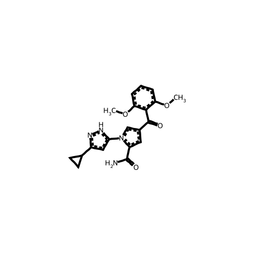 COc1cccc(OC)c1C(=O)c1cc(C(N)=O)n(-c2cc(C3CC3)n[nH]2)c1